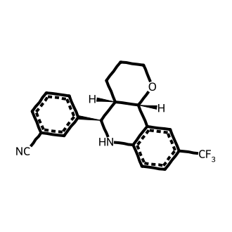 N#Cc1cccc([C@@H]2Nc3ccc(C(F)(F)F)cc3[C@H]3OCCC[C@H]32)c1